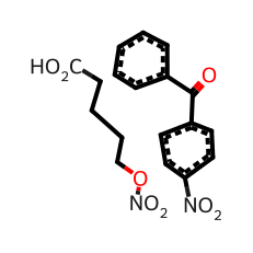 O=C(O)CCCCO[N+](=O)[O-].O=C(c1ccccc1)c1ccc([N+](=O)[O-])cc1